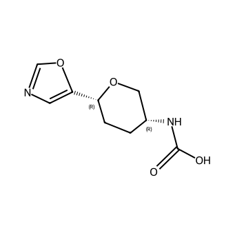 O=C(O)N[C@@H]1CC[C@H](c2cnco2)OC1